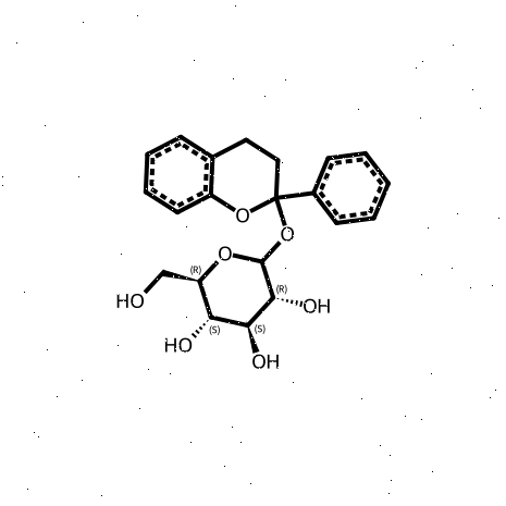 OC[C@H]1OC(OC2(c3ccccc3)CCc3ccccc3O2)[C@H](O)[C@@H](O)[C@@H]1O